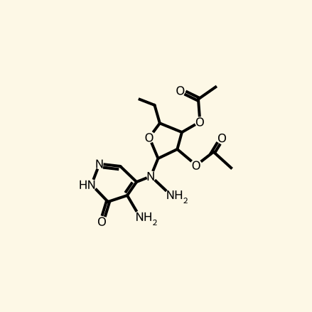 CCC1OC(N(N)c2cn[nH]c(=O)c2N)C(OC(C)=O)C1OC(C)=O